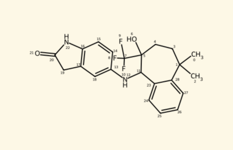 CC1(C)CCC(O)(C(F)(F)F)C(Nc2ccc3c(c2)CC(=O)N3)c2ccccc21